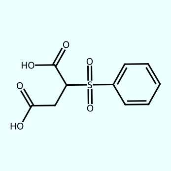 O=C(O)CC(C(=O)O)S(=O)(=O)c1ccccc1